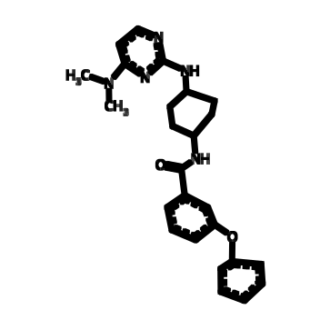 CN(C)c1ccnc(NC2CCC(NC(=O)c3cccc(Oc4ccccc4)c3)CC2)n1